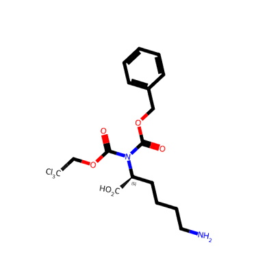 NCCCC[C@@H](C(=O)O)N(C(=O)OCc1ccccc1)C(=O)OCC(Cl)(Cl)Cl